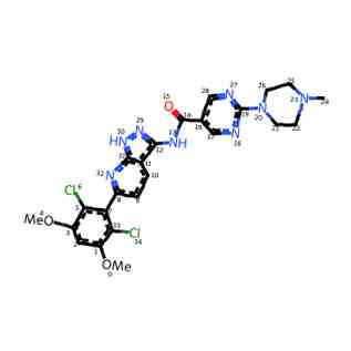 COc1cc(OC)c(Cl)c(-c2ccc3c(NC(=O)c4cnc(N5CCN(C)CC5)nc4)n[nH]c3n2)c1Cl